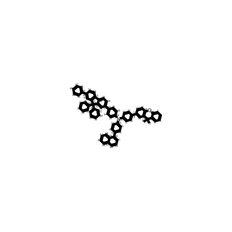 CC1(C)c2ccccc2Oc2ccc(-c3ccc(N(c4ccc(-c5ccc6c(c5)C(c5ccccc5)(c5ccccc5)c5cc(-c7ccccc7)ccc5-6)cc4)c4ccc(-c5cccc6ccccc56)cc4)cc3)cc21